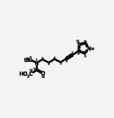 CC(C)(C)N(CCCCC#Cc1cncs1)C(=O)C(=O)O